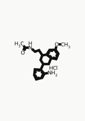 COc1ccc2c(c1)C(CCNC(C)=O)CC(c1ccccc1N)C2.Cl